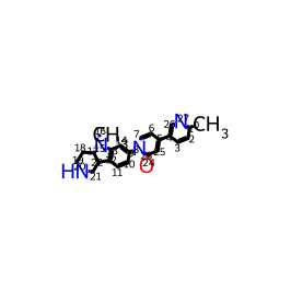 Cc1ccc(-c2ccn(-c3ccc4c(c3)N(C)C3CCNCC43)c(=O)c2)cn1